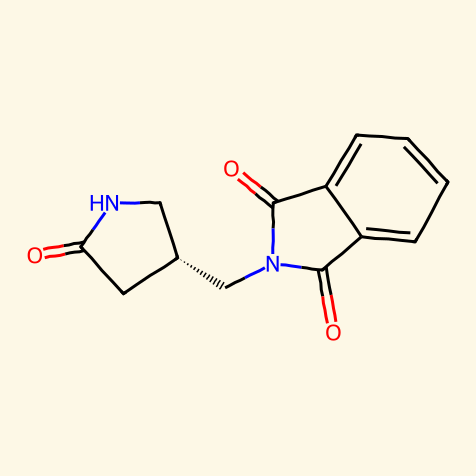 O=C1C[C@@H](CN2C(=O)c3ccccc3C2=O)CN1